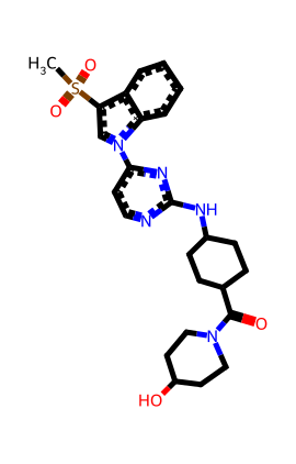 CS(=O)(=O)c1cn(-c2ccnc(NC3CCC(C(=O)N4CCC(O)CC4)CC3)n2)c2ccccc12